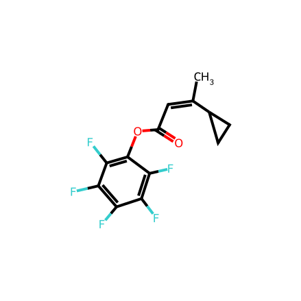 CC(=CC(=O)Oc1c(F)c(F)c(F)c(F)c1F)C1CC1